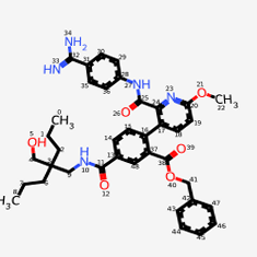 CCCC(CO)(CCC)CNC(=O)c1ccc(-c2ccc(OC)nc2C(=O)Nc2ccc(C(=N)N)cc2)c(C(=O)OCc2ccccc2)c1